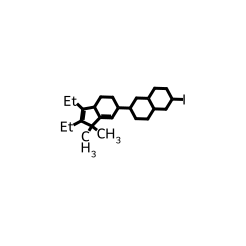 CCC1=C(CC)C(C)(C)C2=CC(C3CCC4CC(I)CCC4C3)CCC21